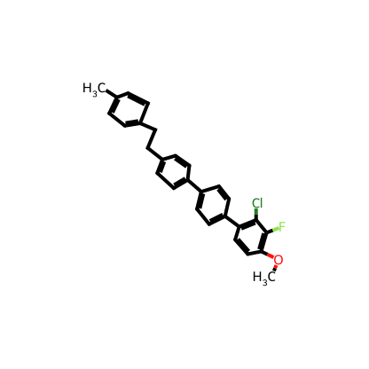 COc1ccc(-c2ccc(-c3ccc(CCc4ccc(C)cc4)cc3)cc2)c(Cl)c1F